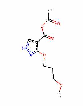 CCCC(=O)OC(=O)c1c[nH]nc1OCCCOCC